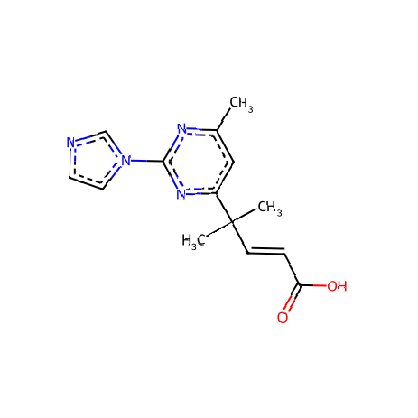 Cc1cc(C(C)(C)/C=C/C(=O)O)nc(-n2ccnc2)n1